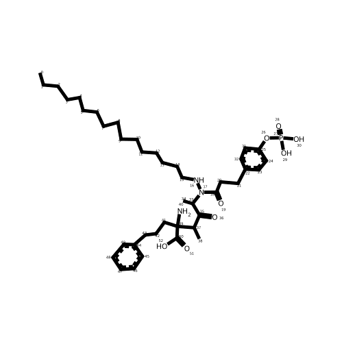 CCCCCCCCCCCCCCCCNN(C(=O)CCc1ccc(OP(=O)(O)O)cc1)C(C)C(=O)C(C)C(N)(CCCc1ccccc1)C(=O)O